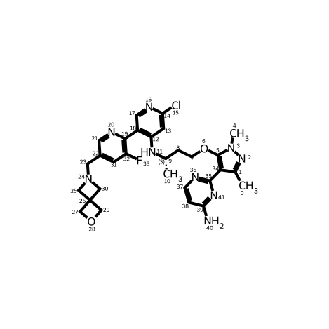 Cc1nn(C)c(OCC[C@H](C)Nc2cc(Cl)ncc2-c2ncc(CN3CC4(COC4)C3)cc2F)c1-c1nccc(N)n1